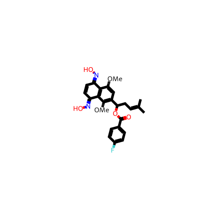 COc1cc(C(CC=C(C)C)OC(=O)c2ccc(F)cc2)c(OC)c2c1/C(=N/O)C=C/C2=N\O